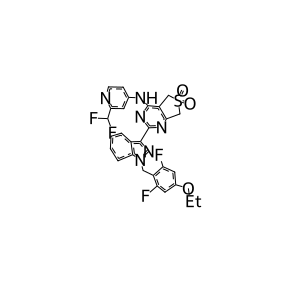 CCOc1cc(F)c(Cn2nc(-c3nc4c(c(Nc5ccnc(C(F)F)c5)n3)CS(=O)(=O)C4)c3ccccc32)c(F)c1